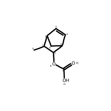 CC1C2C=CC(C2)C1OC(=O)O